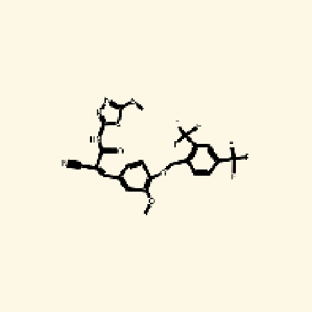 COc1cc(C=C(C#N)C(=O)Nc2nnc(SC)s2)ccc1OCc1ccc(C(F)(F)F)cc1C(F)(F)F